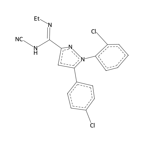 CCN=C(NC#N)c1cc(-c2ccc(Cl)cc2)n(-c2ccccc2Cl)n1